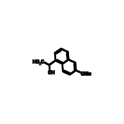 COc1ccc2c(C(O)C(=O)O)cccc2c1